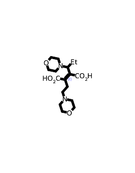 CCC(/C(C(=O)O)=C(/CCN1CCOCC1)C(=O)O)N1CCOCC1